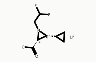 O=C([O-])[C@H]1[C@@H](C2CC2)N1CC(F)F.[Li+]